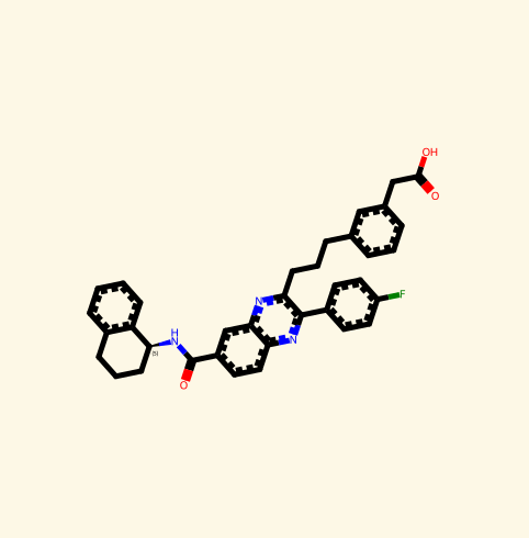 O=C(O)Cc1cccc(CCCc2nc3cc(C(=O)N[C@H]4CCCc5ccccc54)ccc3nc2-c2ccc(F)cc2)c1